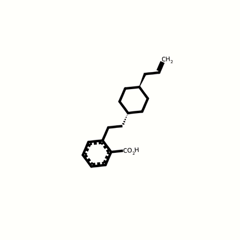 C=CC[C@H]1CC[C@H](CCc2ccccc2C(=O)O)CC1